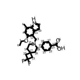 CCOc1cc(C)c2[nH]ccc2c1CN1CCC2(C[C@H]1c1ccc(C(=O)O)cc1)CC(F)(F)C2